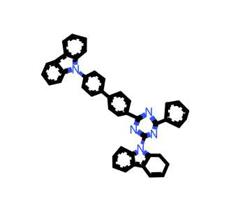 C1=Cc2c(n(-c3nc(-c4ccccc4)nc(-c4ccc(-c5ccc(-n6c7ccccc7c7ccccc76)cc5)cc4)n3)c3ccccc23)CC1